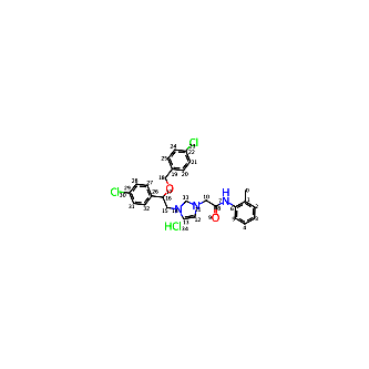 Cc1ccccc1NC(=O)CN1C=CN(CC(OCc2ccc(Cl)cc2)c2ccc(Cl)cc2)C1.Cl